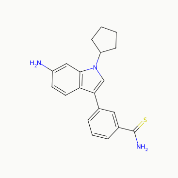 NC(=S)c1cccc(-c2cn(C3CCCC3)c3cc(N)ccc23)c1